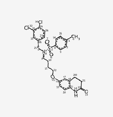 Cc1ccc(S(=O)(=O)[N+](=CCCCOc2ccc3c(c2)CCC(=O)N3)Sc2ccc(Cl)c(Cl)c2)cc1